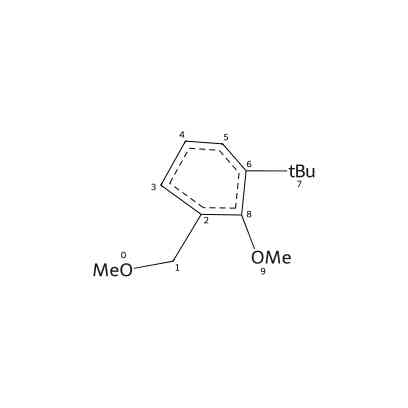 COCc1cccc(C(C)(C)C)c1OC